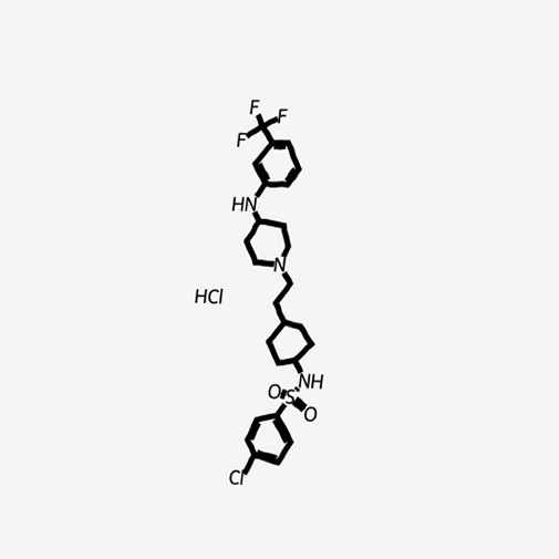 Cl.O=S(=O)(NC1CCC(CCN2CCC(Nc3cccc(C(F)(F)F)c3)CC2)CC1)c1ccc(Cl)cc1